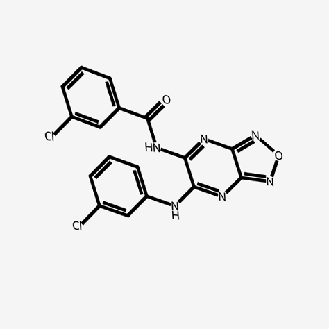 O=C(Nc1nc2nonc2nc1Nc1cccc(Cl)c1)c1cccc(Cl)c1